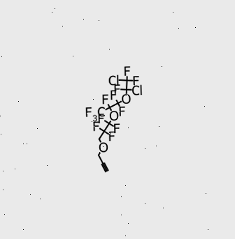 C#CCOCC(F)(F)C(F)(F)OC(F)(C(F)(F)F)C(F)(F)OC(F)(Cl)C(F)(F)Cl